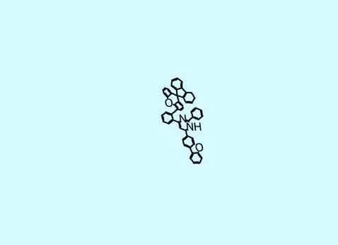 C1=CC2=C(CC1)c1ccccc1C21c2ccccc2Oc2c(-c3ccccc3C3=CC(c4ccc5c(c4)oc4ccccc45)NC(c4ccccc4)=N3)cccc21